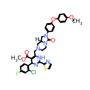 COC(=O)C1=C(CN2CCN3C(=O)N(c4ccc(Oc5ccc(OC)cc5)cc4)C[C@@H]3C2)NC(c2nccs2)=NC1c1ccc(F)cc1Cl